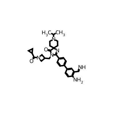 CC(C)N1CCC2(CC1)N=C(c1ccc(-c3ccc(N)c(C=N)c3)cc1)N(CC1CN(C(=O)C3CC3)C1)C2=O